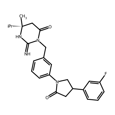 CC(C)[C@]1(C)CC(=O)N(Cc2cccc(N3CC(c4cccc(F)c4)CC3=O)c2)C(=N)N1